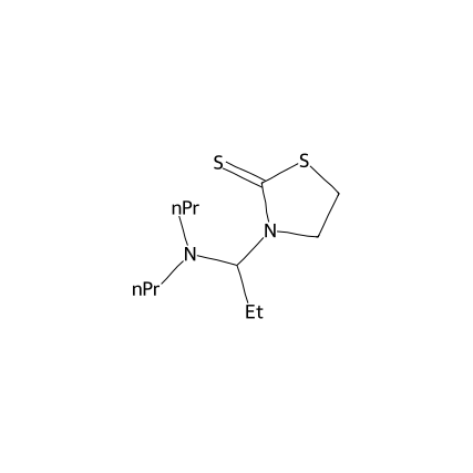 CCCN(CCC)C(CC)N1CCSC1=S